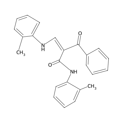 Cc1ccccc1NC=C(C(=O)Nc1ccccc1C)C(=O)c1ccccc1